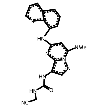 CNc1cc(Nc2cccc3cccnc23)nc2c(NC(=O)NCC#N)cnn12